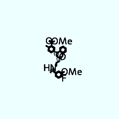 COC(=O)c1cc([C@@H]2C[C@H](CCCN[C@H](C)c3ccc(F)c(OC)c3)Oc3ccccc32)ccc1C